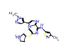 Cc1cc(Nc2nc(S[C@@H]3CCNC3)cn3c(-c4cnn(C)c4)cnc23)sn1